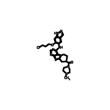 CN1CCN(C(=O)C2CCc3c(sc4ncnc(Nc5cc6cn[nH]c6cc5OCCCCl)c34)C2)CC1